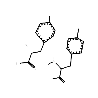 CNC(Cc1ccc(O)cc1)C(=O)O.N[C@H](Cc1ccc(O)cc1)C(=O)O